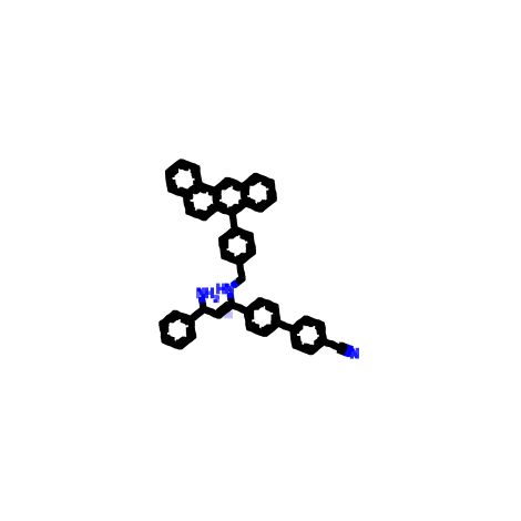 N#Cc1ccc(-c2ccc(/C(=C/C(N)c3ccccc3)NCc3ccc(-c4c5ccccc5cc5c4ccc4ccccc45)cc3)cc2)cc1